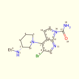 CCN[C@@H]1CCCN(c2c(Br)cnc3c2[c]cn3C(N)=O)C1